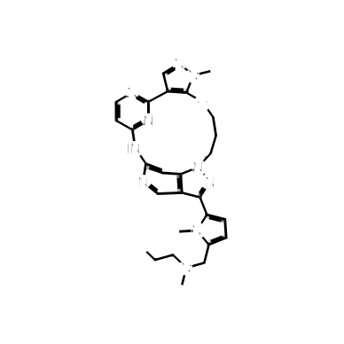 C[C@H]1CCOc2c(cnn2C)-c2nccc(n2)Nc2cc3c(cn2)c(-c2ccc(CN(C)CCF)n2C)nn31